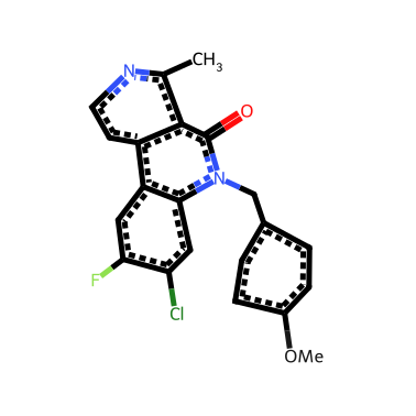 COc1ccc(Cn2c(=O)c3c(C)nccc3c3cc(F)c(Cl)cc32)cc1